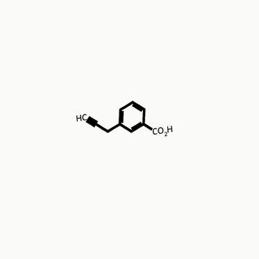 C#CCc1cccc(C(=O)O)c1